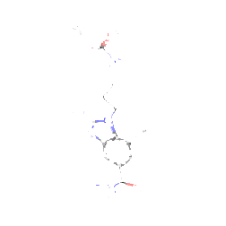 COc1cc(C(N)=O)cc2nc(N)n(CCCCNC(=O)OC(C)(C)C)c12